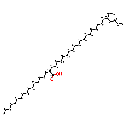 CCCCCCCCCCCCCCCCC(CCCCCCCCCCCCCCCCCCCC(CC)CCCC)C(=O)O